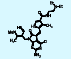 CCN(CC)CCNC(=O)c1c[nH]c(/C=C2\C(=O)N(C/C(C=N)=C(\C)NC)c3nc(N)nc(Cl)c32)c1C